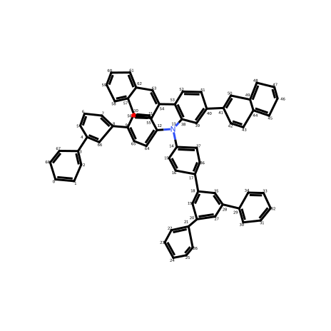 c1ccc(-c2cccc(-c3ccc(N(c4ccc(-c5cc(-c6ccccc6)cc(-c6ccccc6)c5)cc4)c4cc(-c5ccc6ccccc6c5)ccc4-c4ccc5ccccc5c4)cc3)c2)cc1